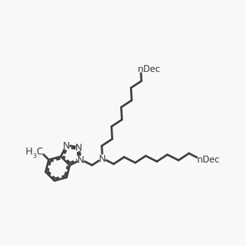 CCCCCCCCCCCCCCCCCCN(CCCCCCCCCCCCCCCCCC)Cn1nnc2c(C)cccc21